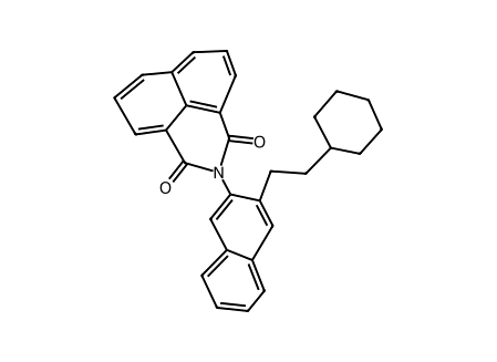 O=C1c2cccc3cccc(c23)C(=O)N1c1cc2ccccc2cc1CCC1CCCCC1